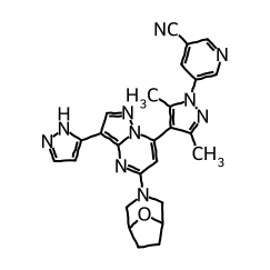 Cc1nn(-c2cncc(C#N)c2)c(C)c1-c1cc(N2CC3CCC(C2)O3)nc2c(-c3ccn[nH]3)cnn12